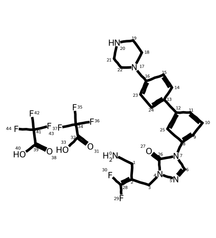 NCC(Cn1ncn(-c2cccc(-c3ccc(N4CCNCC4)cc3)c2)c1=O)=C(F)F.O=C(O)C(F)(F)F.O=C(O)C(F)(F)F